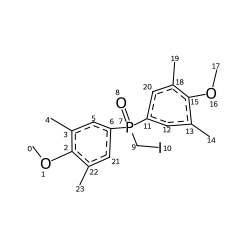 COc1c(C)cc(P(=O)(CI)c2cc(C)c(OC)c(C)c2)cc1C